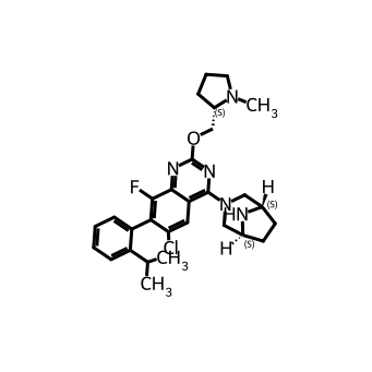 CC(C)c1ccccc1-c1c(Cl)cc2c(N3C[C@@H]4CC[C@@H](C3)N4)nc(OC[C@@H]3CCCN3C)nc2c1F